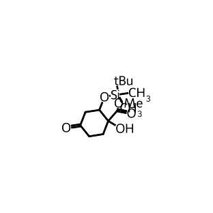 COC(=O)C1(O)CCC(=O)CC1O[Si](C)(C)C(C)(C)C